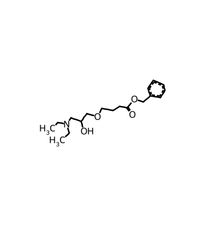 CCN(CC)CC(O)COCCCC(=O)OCc1ccccc1